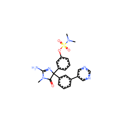 CN1C(=O)C(c2cccc(OS(=O)(=O)N(C)C)c2)(c2cccc(-c3cncnc3)c2)N=C1N